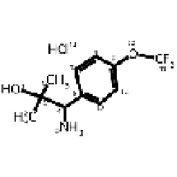 CC(C)(O)C(N)c1ccc(OC(F)(F)F)cc1.Cl